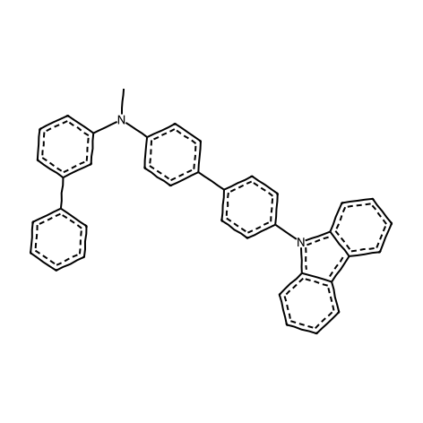 CN(c1ccc(-c2ccc(-n3c4ccccc4c4ccccc43)cc2)cc1)c1cccc(-c2ccccc2)c1